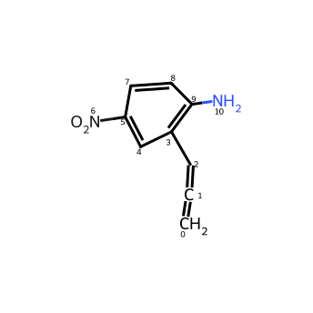 C=C=Cc1cc([N+](=O)[O-])ccc1N